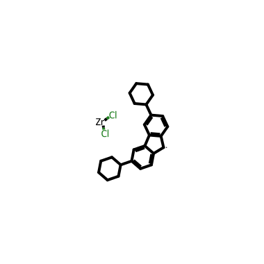 [CH]1c2ccc(C3CCCCC3)cc2-c2cc(C3CCCCC3)ccc21.[Cl][Zr][Cl]